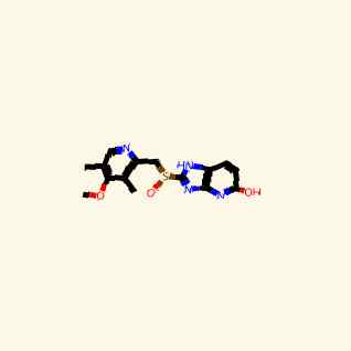 COc1c(C)cnc(C[S+]([O-])c2nc3nc(O)ccc3[nH]2)c1C